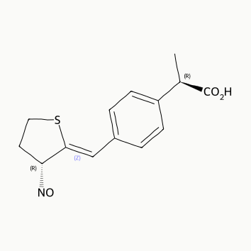 C[C@@H](C(=O)O)c1ccc(/C=C2\SCC[C@H]2N=O)cc1